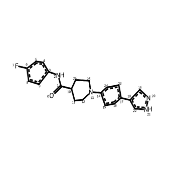 O=C(Nc1ccc(F)cc1)C1CCN(c2ccc(-c3cn[nH]c3)cc2)CC1